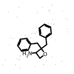 NC1COC1(Cc1ccccc1)Cc1ccccc1